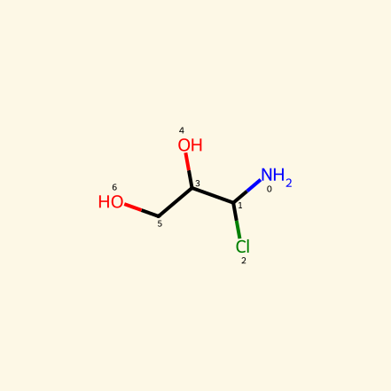 NC(Cl)C(O)CO